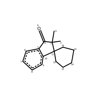 CC1(C)C(=O)c2ccccc2C12CCCCC2